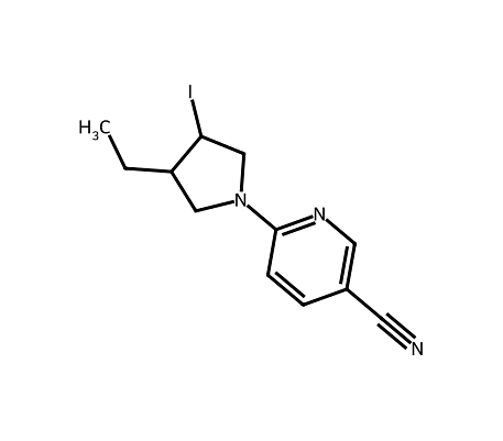 CCC1CN(c2ccc(C#N)cn2)CC1I